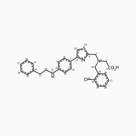 O=C(O)CN(Cc1nc(-c2ccc(NCCc3ccccc3)cc2)cs1)Cc1ccccc1Cl